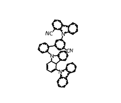 N#Cc1cc(-c2ccccc2N2c3ccccc3C3C(n4c5ccccc5c5ccccc54)=CC=CC32)cc(-n2c3ccccc3c3cccc(C#N)c32)c1